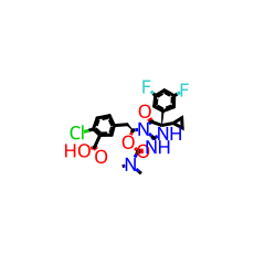 CN(C)C(=O)O[C@@H](Cc1ccc(Cl)c(C(=O)O)c1)N1C(=N)N[C@@](c2cc(F)cc(F)c2)(C2CC2)C1=O